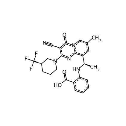 Cc1cc([C@@H](C)Nc2ccccc2C(=O)O)c2nc(N3CCC[C@@H](C(F)(F)F)C3)c(C#N)c(=O)n2c1